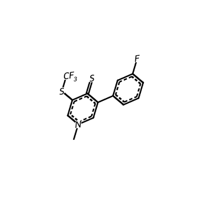 Cn1cc(SC(F)(F)F)c(=S)c(-c2cccc(F)c2)c1